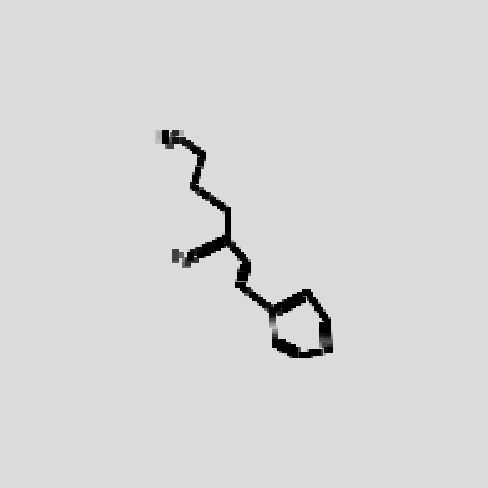 C=C(C=Cc1ccccc1)CCCC